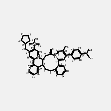 C=C1CC2C(CCc3ccccc3-c3cc(-c4ccc(C(C)C)cc4)c(C)c[n+]31)c1cccnc1-c1cc(CC3CCCC3)c([Si](C)(C)C)c[n+]12